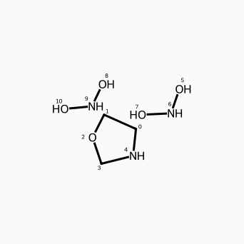 C1COCN1.ONO.ONO